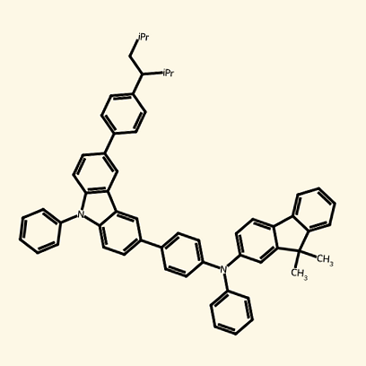 CC(C)CC(c1ccc(-c2ccc3c(c2)c2cc(-c4ccc(N(c5ccccc5)c5ccc6c(c5)C(C)(C)c5ccccc5-6)cc4)ccc2n3-c2ccccc2)cc1)C(C)C